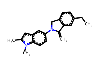 C=C1c2cc(CC)ccc2CN1c1ccc2c(c1)cc(C)n2C